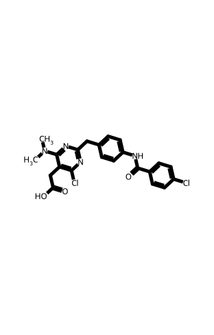 CN(C)c1nc(Cc2ccc(NC(=O)c3ccc(Cl)cc3)cc2)nc(Cl)c1CC(=O)O